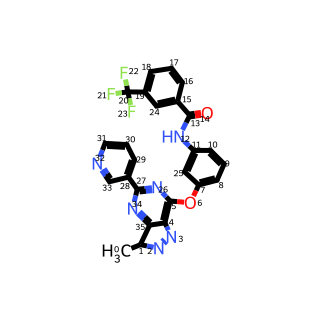 CC1N=Nc2c(Oc3cccc(NC(=O)c4cccc(C(F)(F)F)c4)c3)nc(-c3cccnc3)nc21